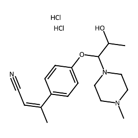 C/C(=C/C#N)c1ccc(OC(C(C)O)N2CCN(C)CC2)cc1.Cl.Cl